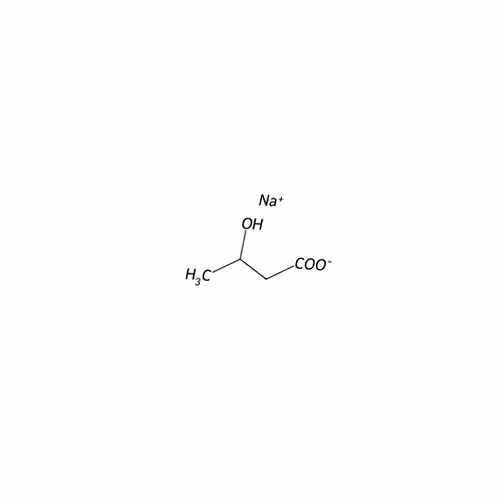 CC(O)CC(=O)[O-].[Na+]